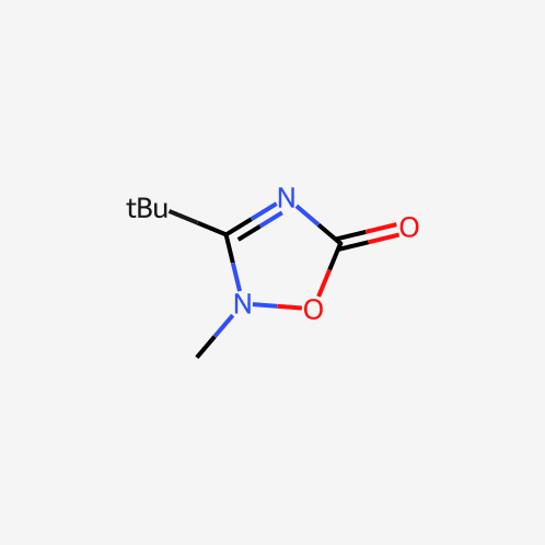 Cn1oc(=O)nc1C(C)(C)C